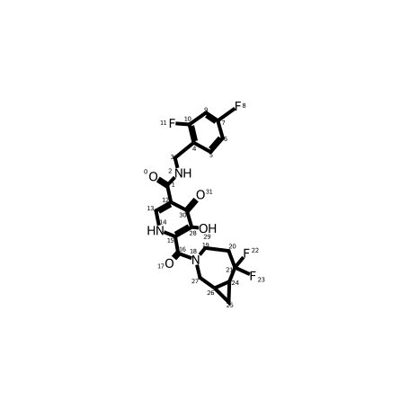 O=C(NCc1ccc(F)cc1F)c1c[nH]c(C(=O)N2CCC(F)(F)C3CC3C2)c(O)c1=O